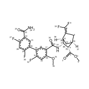 COC(=O)[C@H]1[C@@H]2CC(=C(F)F)[C@@H](C2)[C@H]1NC(=O)c1cc(-c2cc(C(N)=O)c(F)cc2F)c(F)cc1OC